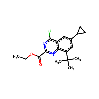 CCOC(=O)c1nc(Cl)c2cc(C3CC3)cc(C(C)(C)C)c2n1